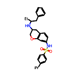 CCC(Cc1ccccc1)NC1COc2cc(NS(=O)(=O)c3ccc(C(C)C)cc3)ccc2C1